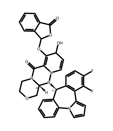 O=C1OC(OC2=C3C(=O)N4CCOC[C@H]4N([C@@H]4c5ccccc5-n5cccc5-c5c4ccc(F)c5F)N3C=CC2O)c2ccccc21